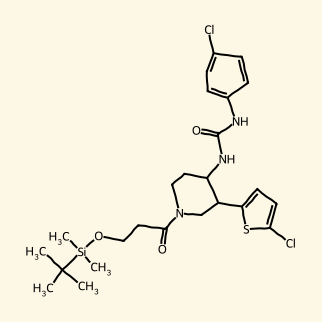 CC(C)(C)[Si](C)(C)OCCC(=O)N1CCC(NC(=O)Nc2ccc(Cl)cc2)C(c2ccc(Cl)s2)C1